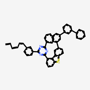 C=C/C=C\C=C/c1cccc(-c2nc(-c3ccccc3)nc(-c3cccc4sc5ccc(-c6cccc(-c7cccc(-c8ccccc8)c7)c6)cc5c34)n2)c1